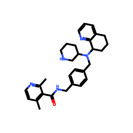 Cc1ccnc(C)c1C(=O)NCc1ccc(CN(C2CCCNC2)C2CCCc3cccnc32)cc1